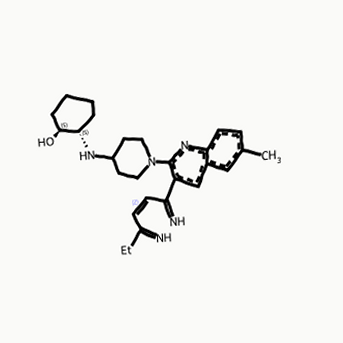 CCC(=N)/C=C\C(=N)c1cc2cc(C)ccc2nc1N1CCC(N[C@H]2CCCC[C@@H]2O)CC1